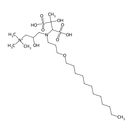 CCCCCCCCCCCCOCCCN(CC(O)C[N+](C)(C)C)C(C(C)(O)S(=O)(=O)O)S(=O)(=O)O